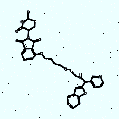 O=C1CCC(N2C(=O)c3cccc(OCCCCOCCNC(c4cccnc4)c4cc5ccccc5o4)c3C2=O)C(=O)N1